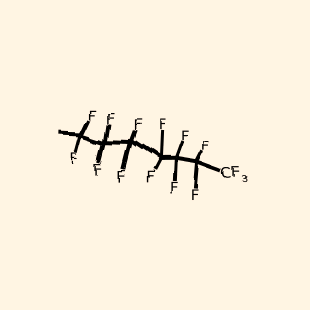 CC(F)(F)C(F)(F)C(F)(F)C(F)(F)C(F)(F)C(F)(F)C(F)(F)F